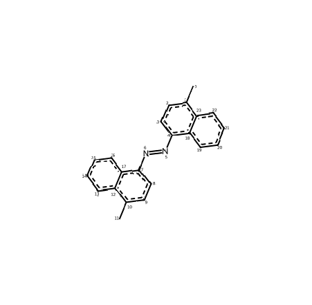 Cc1ccc(N=Nc2ccc(C)c3ccccc23)c2ccccc12